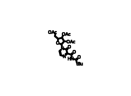 CC(=O)OCC1OC(n2ccnc(C(=O)NC(=O)C(C)(C)C)c2=O)C(OC(C)=O)C1OC(C)=O